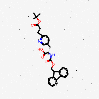 CC(C)(C)OC(=O)CCc1ccc(C[C@H](NC(=O)OCC2c3ccccc3-c3ccccc32)C(=O)O)cn1